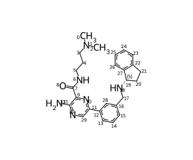 CN(C)CCCNC(=O)c1nc(-c2cccc(CN[C@H]3CCc4ccccc43)c2)cnc1N